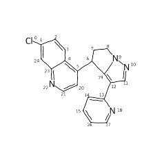 Clc1ccc2c(C3CCn4ncc(-c5ccccn5)c43)ccnc2c1